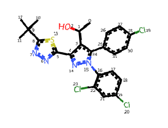 CC(O)c1c(-c2nnc(C(C)(C)C)s2)nn(-c2ccc(Cl)cc2Cl)c1-c1ccc(Cl)cc1